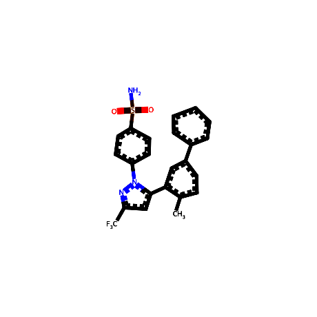 Cc1ccc(-c2ccccc2)cc1-c1cc(C(F)(F)F)nn1-c1ccc(S(N)(=O)=O)cc1